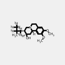 [2H]C([2H])([2H])C([2H])(C)C([2H])([2H])[C@H]1CN2CCc3cc(OC)c(OC)cc3[C@@H]2C[C@@]1([2H])O